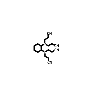 N#CCCP(CCC#N)C1CCCCC1P(CCC#N)CCC#N